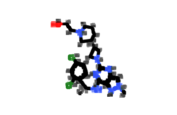 C[C@@H](Nc1nc(N2CC([C@H]3CCCN(CCO)C3)C2)nc2cn(C)nc12)c1ccc(Cl)cc1Cl